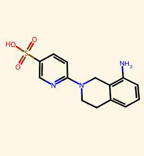 Nc1cccc2c1CN(c1ccc(S(=O)(=O)O)cn1)CC2